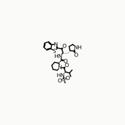 CC(C)[C@H](NS(C)(=O)=O)C(=O)N1CCCC[C@H]1C(=O)N[C@@H](C[C@@H]1CCNC1=O)C(=O)c1nc2ccccc2s1